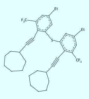 CCc1cc(Sc2cc(CC)cc(C(F)(F)F)c2C#CC2CCCCCC2)c(C#CC2CCCCCC2)c(C(F)(F)F)c1